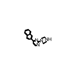 c1ccc2cc(-c3ccnc(N4CCNCC4)n3)ccc2c1